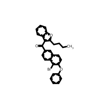 CCCCc1oc2ccccc2c1C(=O)c1ccc2c(Br)c(Oc3[c]cccc3)ccc2c1